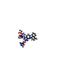 C=CC(=O)N1CCN(c2nc(OC[C@@H]3CCCN3C)nc3c2CCCN(c2ccc(F)c4c2CCCC4)C3)C[C@@H]1CC#N